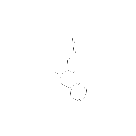 CN(Cc1ccccc1)C(=O)CN=[N+]=[N-]